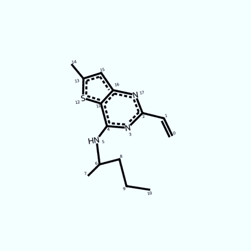 C=Cc1nc(NC(C)CCC)c2sc(C)cc2n1